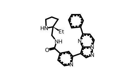 CC[C@]1(CNC(=O)c2ccnc(-c3cnn4ccc(-c5ccccc5)nc34)c2)CCCN1